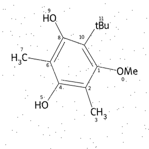 COc1c(C)c(O)c(C)c(O)c1C(C)(C)C